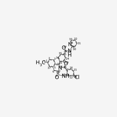 Cc1cccc(C[C@@H]2C(=O)Nc3cc(Cl)ccc3C(=O)N2Cc2ccc(C(=O)Nc3ccccn3)cc2)c1